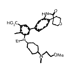 CCN(c1cc(-c2ccc3c(c2)NC(=O)C32CCOCC2)cc(C(=O)O)c1C)C1CCC(N(C)CCOC)CC1